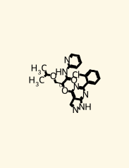 CC(C)OC[C@H](Oc1nc(-c2ccccc2Cl)nc2[nH]ncc12)C(=O)Nc1ccccn1